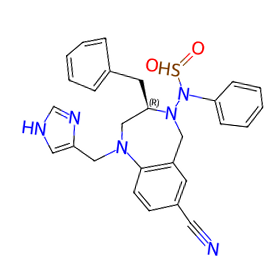 N#Cc1ccc2c(c1)CN(N(c1ccccc1)[SH](=O)=O)[C@H](Cc1ccccc1)CN2Cc1c[nH]cn1